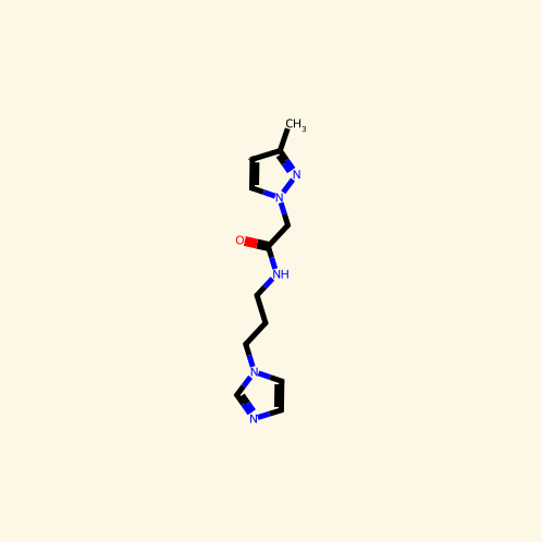 Cc1[c]cn(CC(=O)NCCCn2ccnc2)n1